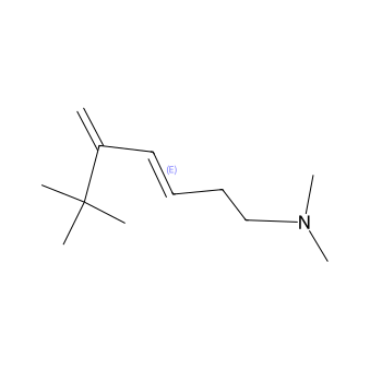 C=C(/C=C/CCN(C)C)C(C)(C)C